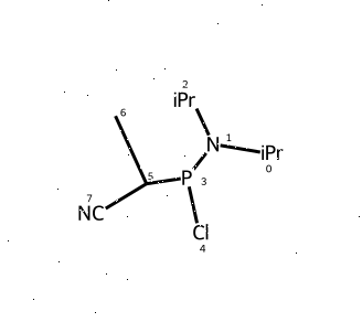 CC(C)N(C(C)C)P(Cl)C(C)C#N